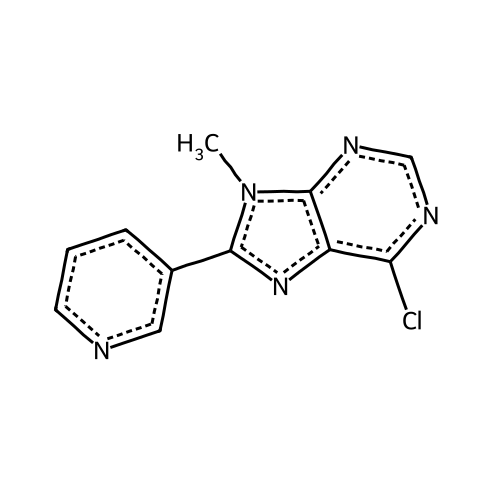 Cn1c(-c2cccnc2)nc2c(Cl)ncnc21